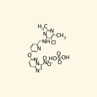 Cc1nc(C)c(Cl)c(NCc2ccc(Oc3ccc4ncc([N+](=O)[O-])n4n3)cn2)n1.O=S(=O)(O)O